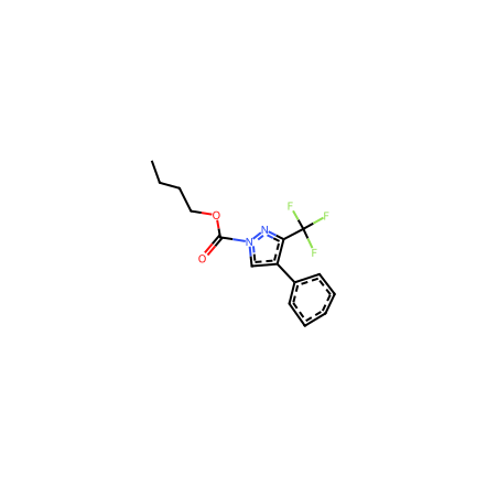 CCCCOC(=O)n1cc(-c2ccccc2)c(C(F)(F)F)n1